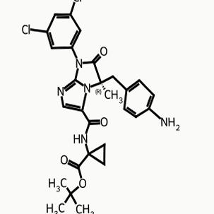 CC(C)(C)OC(=O)C1(NC(=O)c2cnc3n2[C@](C)(Cc2ccc(N)cc2)C(=O)N3c2cc(Cl)cc(Cl)c2)CC1